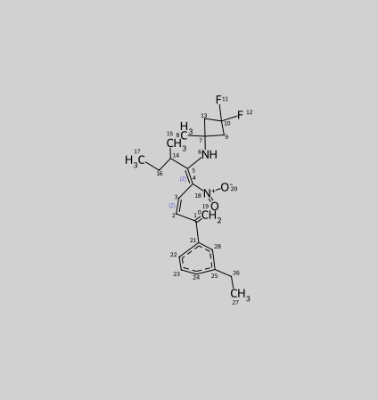 C=C(/C=C\C(=C(\NC1(C)CC(F)(F)C1)C(C)CC)[N+](=O)[O-])c1cccc(CC)c1